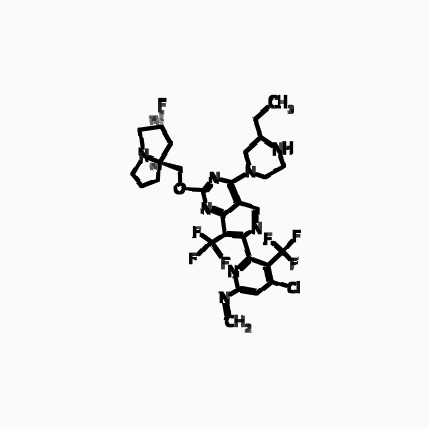 C=Nc1cc(Cl)c(C(F)(F)F)c(-c2ncc3c(N4CCNC(CC)C4)nc(OC[C@@]45CCCN4C[C@H](F)C5)nc3c2C(F)(F)F)n1